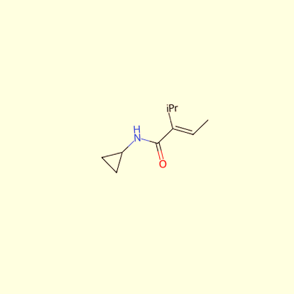 C/C=C(/C(=O)NC1CC1)C(C)C